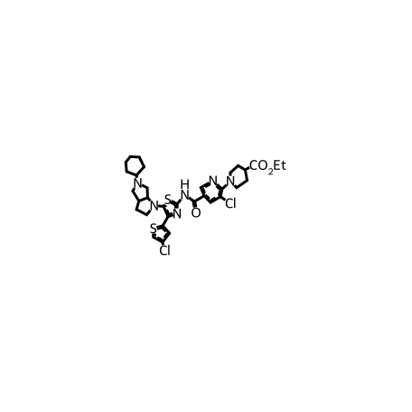 CCOC(=O)C1CCN(c2ncc(C(=O)Nc3nc(-c4cc(Cl)cs4)c(N4CCC5CN(C6CCCCC6)CC54)s3)cc2Cl)CC1